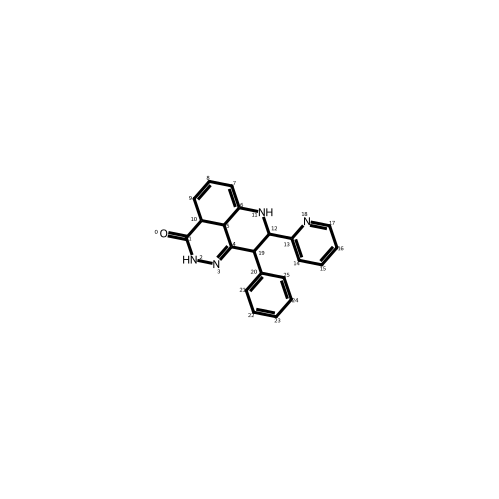 O=C1NN=C2C3C(=CC=CC13)NC(c1ccccn1)C2c1ccccc1